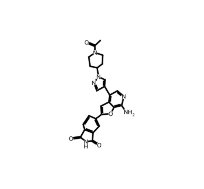 CC(=O)N1CCC(n2cc(-c3cnc(N)c4oc(-c5ccc6c(c5)C(=O)NC6=O)cc34)cn2)CC1